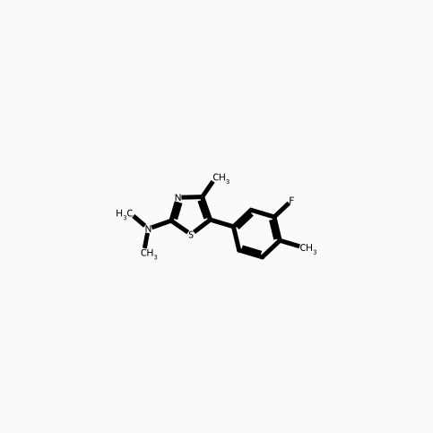 Cc1ccc(-c2sc(N(C)C)nc2C)cc1F